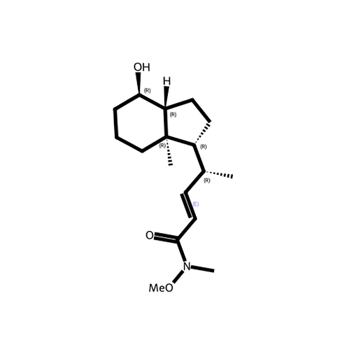 CON(C)C(=O)/C=C/[C@@H](C)[C@H]1CC[C@H]2[C@H](O)CCC[C@]12C